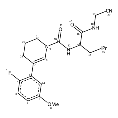 COc1ccc(F)c(C2=CN(C(=O)NC(CC(C)C)C(=O)NCC#N)CCC2)c1